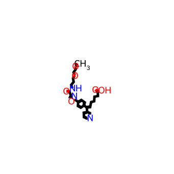 COCCOCCCNC(=O)c1coc(-c2ccc(/C(=C\CCCCC(=O)O)c3cccnc3)cc2)n1